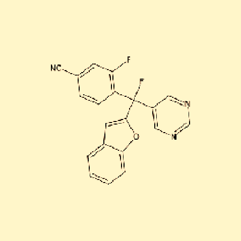 N#Cc1ccc(C(F)(c2cncnc2)c2cc3ccccc3o2)c(F)c1